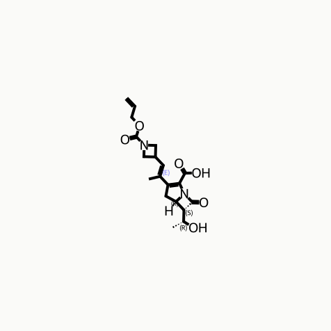 C=CCOC(=O)N1CC(/C=C(\C)C2=C(C(=O)O)N3C(=O)[C@H]([C@@H](C)O)[C@H]3C2)C1